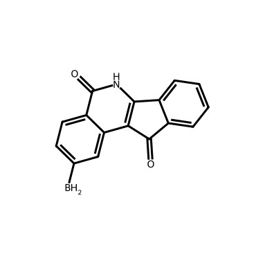 Bc1ccc2c(=O)[nH]c3c(c2c1)C(=O)c1ccccc1-3